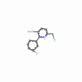 COc1ccc(CBr)nc1-c1cccc(Cl)c1